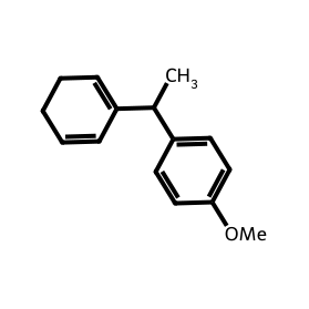 COc1ccc(C(C)C2=CCCC=C2)cc1